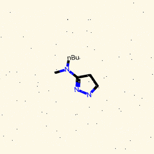 CCCCN(C)C1=N[N]CC1